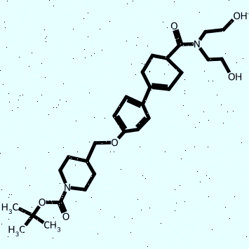 CC(C)(C)OC(=O)N1CCC(COc2ccc(C3=CCC(C(=O)N(CCO)CCO)CC3)cc2)CC1